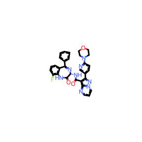 O=C(N[C@H]1N=C(c2ccccc2)c2cccc(F)c2NC1=O)c1c(-c2ccc(N3CCOCC3)nc2)nn2cccnc12